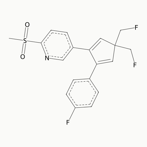 CS(=O)(=O)c1ccc(C2=CC(CF)(CF)C=C2c2ccc(F)cc2)cn1